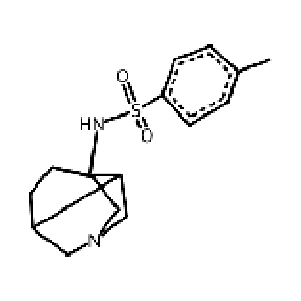 Cc1ccc(S(=O)(=O)NC2C3CCN4CC(C3)C2C4)cc1